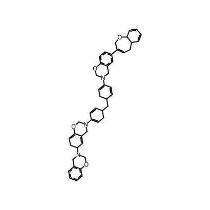 C1=CC2CC=C(c3ccc4c(c3)CN(C3=CCC(CC5C=CC(N6COC7=CCC(N8COc9ccccc9C8)C=C7C6)=CC5)C=C3)CO4)COC2C=C1